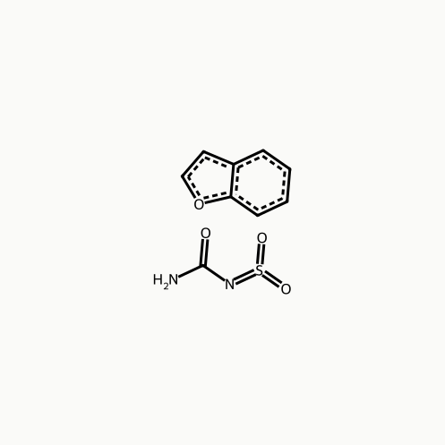 NC(=O)N=S(=O)=O.c1ccc2occc2c1